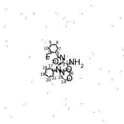 NC(=O)c1nc(-c2ccccc2F)oc1N(c1ccccc1)N1CCOCC1